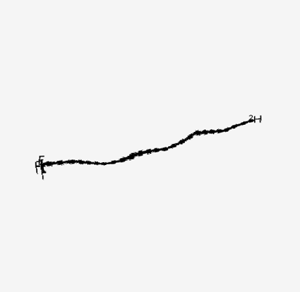 [2H]C#CC#CC#CC#CC#CC#CC#CC#CC#CC#CC#CC#CC#CC#CC#CC#CC#CC#CC#CC#CC#CC#CC#CC#CC#CC(F)(F)F